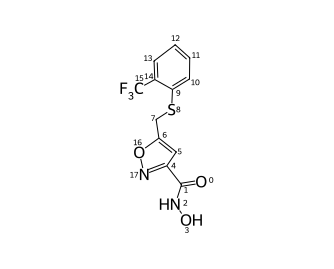 O=C(NO)c1cc(CSc2ccccc2C(F)(F)F)on1